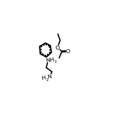 CCOC(C)=O.NCCN.c1ccccc1